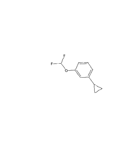 FC(F)Oc1c[c]cc(C2CC2)c1